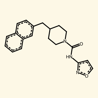 O=C(Nc1ccon1)N1CCC(Cc2ccc3ccccc3c2)CC1